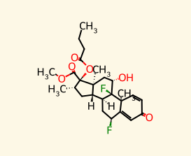 CCCC(=O)O[C@]1(C(=O)OC)[C@@H](C)C[C@H]2[C@@H]3C[C@H](F)C4=CC(=O)C=C[C@]4(C)[C@@]3(F)[C@@H](O)C[C@@]21C